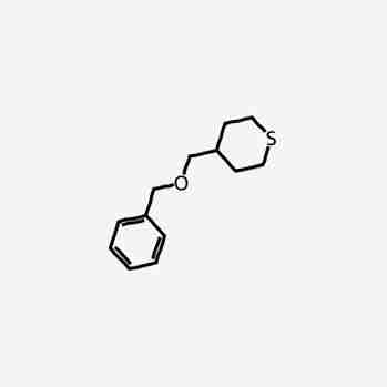 c1ccc(COCC2CCSCC2)cc1